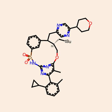 Cc1cccc(C2CC2)c1-c1nc2nc(c1C)OC[C@@H](CC(C)(C)C)C(Cc1cnc(C3CCOCC3)cn1)c1cccc(c1)S(=O)(=O)N2